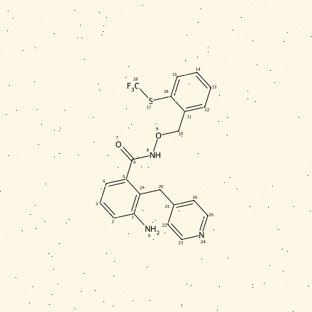 Nc1cccc(C(=O)NOCc2ccccc2SC(F)(F)F)c1Cc1ccncc1